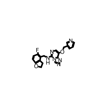 Fc1ccc2c(c1CNc1ncc(OCc3cccnc3)c3nncn13)CCO2